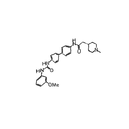 COc1cccc(NC(=O)Nc2ccc(-c3ccc(NC(=O)CC4CCN(C)CC4)cc3)cc2)c1